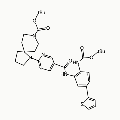 CC(C)(C)OC(=O)Nc1ccc(-c2cccs2)cc1NC(=O)c1cnc(N2CCCC23CCN(C(=O)OC(C)(C)C)CC3)nc1